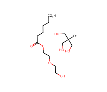 CCC(CO)(CO)CO.O=C(O)CCCCC(=O)OCCOCCO